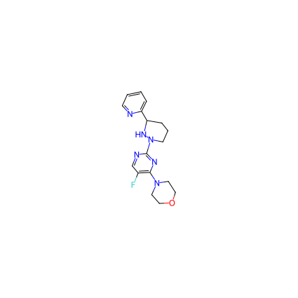 Fc1cnc(N2CCCC(c3ccccn3)N2)nc1N1CCOCC1